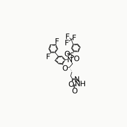 O=c1[nH]nc(CC[C@H]2CN(S(=O)(=O)c3cccc(C(F)(F)F)c3)c3cc(-c4cc(F)ccc4F)ccc3O2)o1